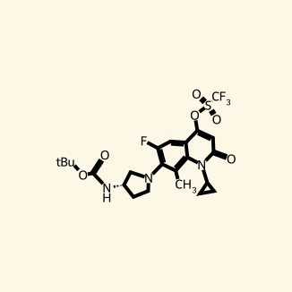 Cc1c(N2CC[C@H](NC(=O)OC(C)(C)C)C2)c(F)cc2c(OS(=O)(=O)C(F)(F)F)cc(=O)n(C3CC3)c12